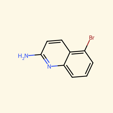 Nc1ccc2c(Br)cccc2n1